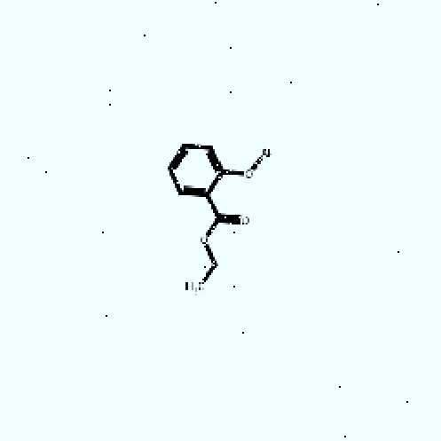 CCOC(=O)c1ccccc1[O][Al]